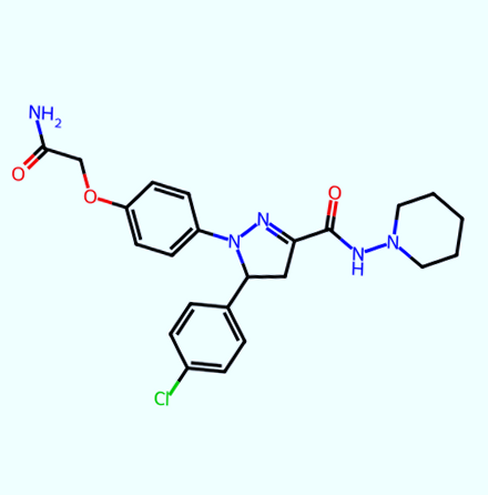 NC(=O)COc1ccc(N2N=C(C(=O)NN3CCCCC3)CC2c2ccc(Cl)cc2)cc1